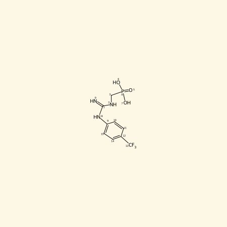 N=C(NCP(=O)(O)O)Nc1ccc(C(F)(F)F)cc1